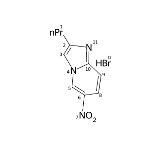 Br.CCCc1cn2cc([N+](=O)[O-])ccc2n1